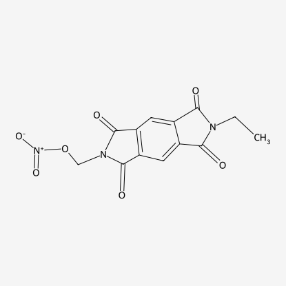 CCn1c(=O)c2cc3c(=O)n(CO[N+](=O)[O-])c(=O)c3cc2c1=O